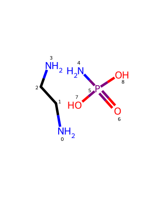 NCCN.NP(=O)(O)O